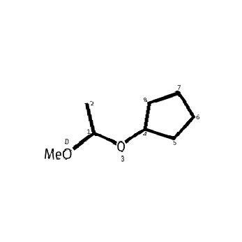 COC(C)OC1CCCC1